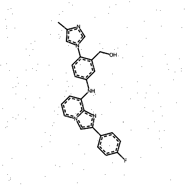 Cc1cn(-c2ccc(Nc3cccn4cc(-c5ccc(F)cc5)nc34)cc2CO)cn1